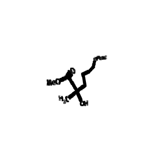 CCCCCCCCC(C)(O)C(=O)OC